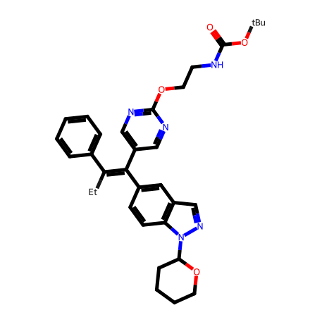 CC/C(=C(/c1cnc(OCCNC(=O)OC(C)(C)C)nc1)c1ccc2c(cnn2C2CCCCO2)c1)c1ccccc1